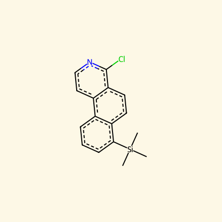 C[Si](C)(C)c1cccc2c1ccc1c(Cl)nccc12